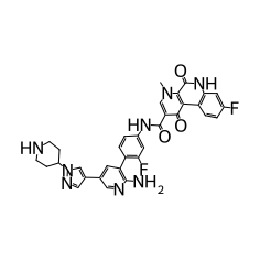 Cn1cc(C(=O)Nc2ccc(-c3cc(-c4cnn(C5CCNCC5)c4)cnc3N)c(F)c2)c(=O)c2c3ccc(F)cc3[nH]c(=O)c21